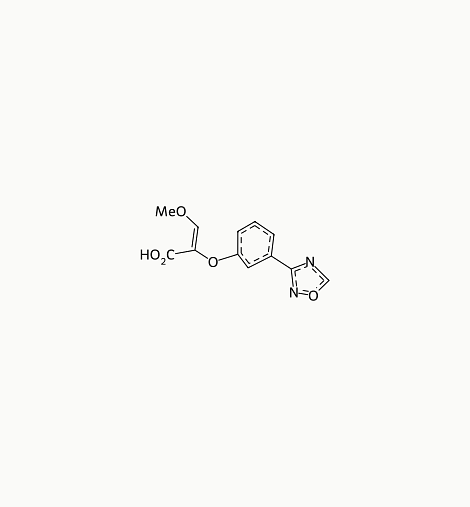 COC=C(Oc1cccc(-c2ncon2)c1)C(=O)O